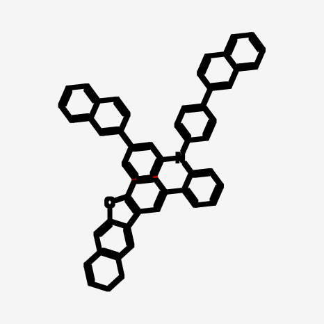 C1=Cc2cc3oc4ccc(-c5ccccc5N(c5ccc(-c6ccc7ccccc7c6)cc5)c5cccc(-c6ccc7ccccc7c6)c5)cc4c3cc2CC1